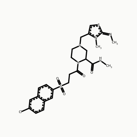 CN=c1scc(CN2CCN(C(=O)CCS(=O)(=O)c3ccc4cc(Cl)ccc4c3)C(C(=O)NC)C2)n1C